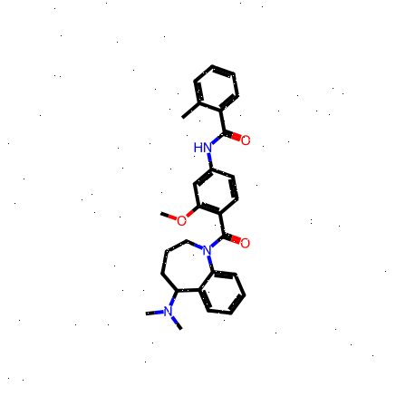 COc1cc(NC(=O)c2ccccc2C)ccc1C(=O)N1CCCC(N(C)C)c2ccccc21